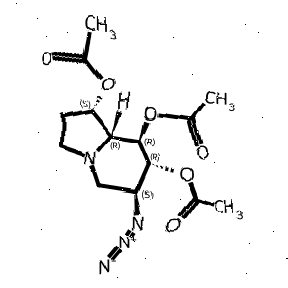 CC(=O)O[C@H]1[C@H](OC(C)=O)[C@@H](N=[N+]=[N-])CN2CC[C@H](OC(C)=O)[C@H]12